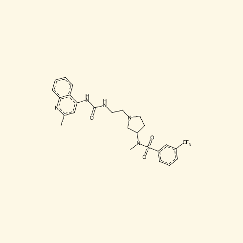 Cc1cc(NC(=O)NCCN2CCC(N(C)S(=O)(=O)c3cccc(C(F)(F)F)c3)C2)c2ccccc2n1